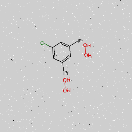 CC(C)c1cc(Cl)cc(C(C)C)c1.OO.OO